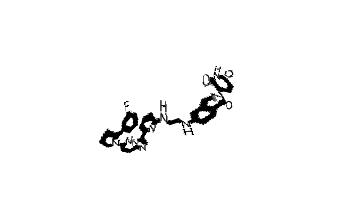 O=C1CCC(N2Cc3cc(NCCNc4cccc(-c5cnc6ccc(N7CCCC7c7cccc(F)c7)nn56)n4)ccc3C2=O)C(=O)N1